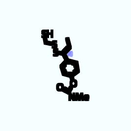 C/C=C(\SSCS)c1ccc(OC(=O)NC)cc1